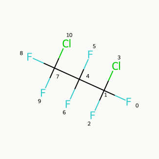 FC(F)(Cl)C(F)(F)C(F)(F)Cl